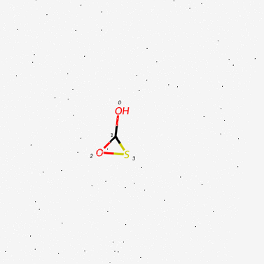 OC1OS1